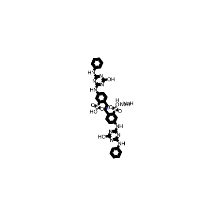 O=S(=O)(O)c1cc(Nc2nc(O)nc(Nc3ccccc3)n2)ccc1/C=C/c1ccc(Nc2nc(O)nc(Nc3ccccc3)n2)cc1S(=O)(=O)O.[NaH].[NaH]